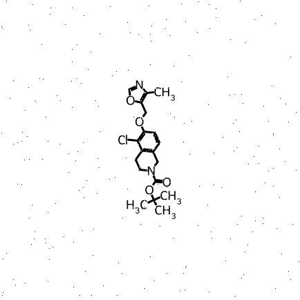 Cc1ncoc1COc1ccc2c(c1Cl)CCN(C(=O)OC(C)(C)C)C2